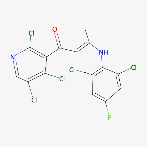 C/C(=C\C(=O)c1c(Cl)ncc(Cl)c1Cl)Nc1c(Cl)cc(F)cc1Cl